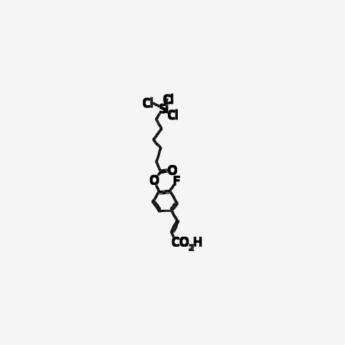 O=C(O)/C=C/c1ccc(OC(=O)CCCCC[Si](Cl)(Cl)Cl)c(F)c1